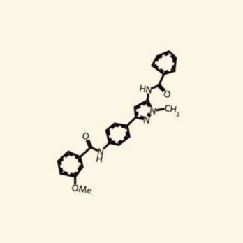 COc1cccc(C(=O)Nc2ccc(-c3cc(NC(=O)c4ccccc4)n(C)n3)cc2)c1